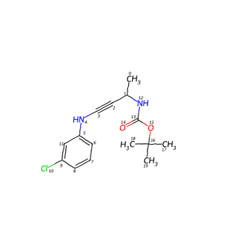 CC(C#CNc1cccc(Cl)c1)NC(=O)OC(C)(C)C